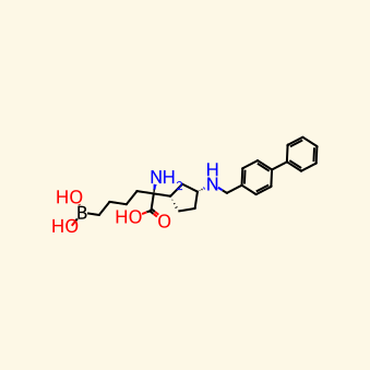 N[C@](CCCCB(O)O)(C(=O)O)[C@H]1CC[C@@H](NCc2ccc(-c3ccccc3)cc2)C1